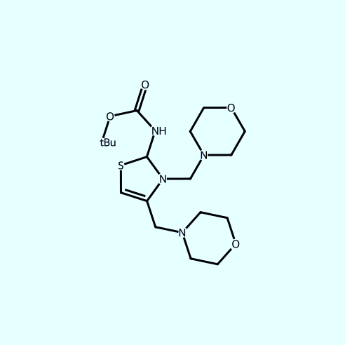 CC(C)(C)OC(=O)NC1SC=C(CN2CCOCC2)N1CN1CCOCC1